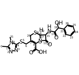 Cc1nnc(SCC2=C(C(=O)O)N3C(=O)C(NC(=O)C(O)c4ccccc4)[C@@H]3SC2)n1C